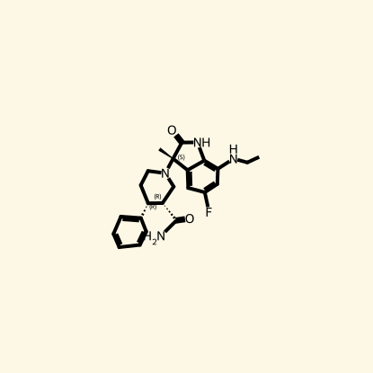 CCNc1cc(F)cc2c1NC(=O)[C@@]2(C)N1CC[C@@H](c2ccccc2)[C@@H](C(N)=O)C1